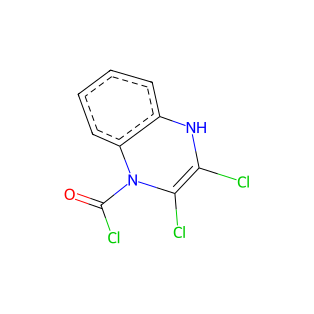 O=C(Cl)N1C(Cl)=C(Cl)Nc2ccccc21